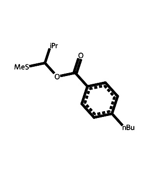 CCCCc1ccc(C(=O)OC(SC)C(C)C)cc1